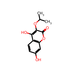 CC(C)Oc1c(O)c2ccc(O)cc2oc1=O